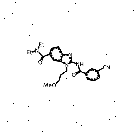 CCN(CC)C(=O)c1ccc2nc(NC(=O)c3cccc(C#N)c3)n(CCCOC)c2c1